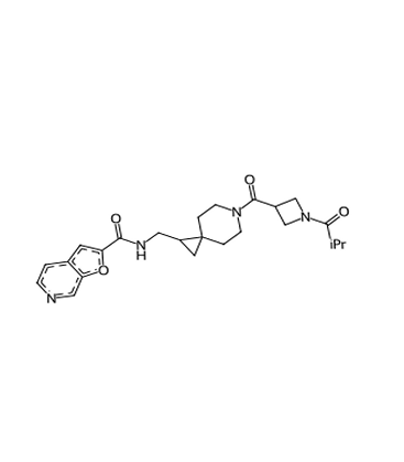 CC(C)C(=O)N1CC(C(=O)N2CCC3(CC2)CC3CNC(=O)c2cc3ccncc3o2)C1